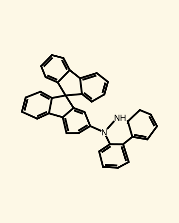 NN(c1ccc2c(c1)C1(c3ccccc3-c3ccccc31)c1ccccc1-2)c1ccccc1C1=CC=CCC1